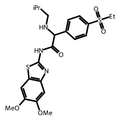 CCS(=O)(=O)c1ccc(C(NCC(C)C)C(=O)Nc2nc3cc(OC)c(OC)cc3s2)cc1